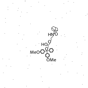 COc1ccc(C(OCC(O)COCCCNC(=O)C23CC4CC(CC(C4)C2)C3)(c2ccccc2)c2ccc(OC)cc2)cc1